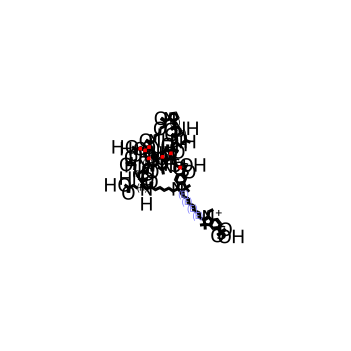 CC[N+]1=C(/C=C/C=C/C=C/C=C2/N(CCCCCC(=O)N[C@H](CCC(=O)O)C(=O)N[C@H](CCC(=O)O)C(=O)N[C@H](CCC(=O)O)C(=O)N[C@H](CCC(=O)O)C(=O)N[C@H](CCC(=O)O)C(=O)NCCOCC(=O)N3CCC[C@H]3C(=O)N[C@@H](CC(C)C)C(=O)NCC(=O)N[C@@H](CSC)C(=O)NC(C)C)c3ccc(S(=O)(=O)O)cc3C2(C)C)C(C)(C)c2cc(S(=O)(=O)O)ccc21